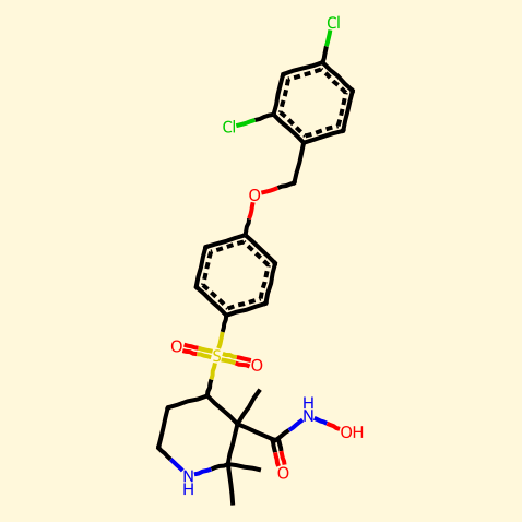 CC1(C)NCCC(S(=O)(=O)c2ccc(OCc3ccc(Cl)cc3Cl)cc2)C1(C)C(=O)NO